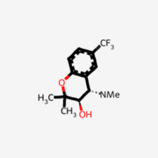 CN[C@H]1c2cc(C(F)(F)F)ccc2OC(C)(C)[C@@H]1O